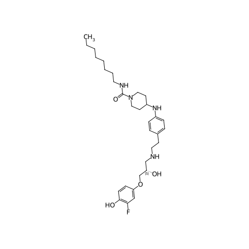 CCCCCCCCNC(=O)N1CCC(Nc2ccc(CCNC[C@H](O)COc3ccc(O)c(F)c3)cc2)CC1